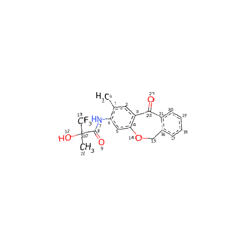 Cc1cc2c(cc1NC(=O)C(C)(O)C(F)(F)F)OCc1ccccc1C2=O